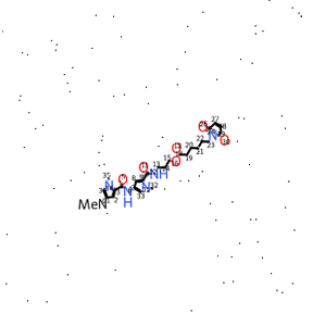 CNc1cc(C(=O)Nc2cc(C(=O)NCCCOC(=O)CCCCCN3C(=O)C=CC3=O)n(C)c2)n(C)c1